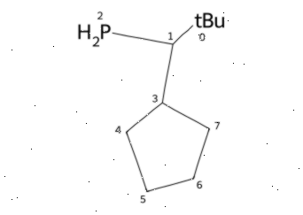 CC(C)(C)C(P)C1CCCC1